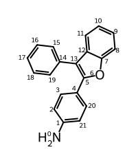 Nc1ccc(-c2oc3ccccc3c2-c2ccccc2)cc1